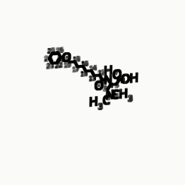 CN(C)CC(CC(=O)O)NC(=O)CCCCCCCCOc1ccccc1